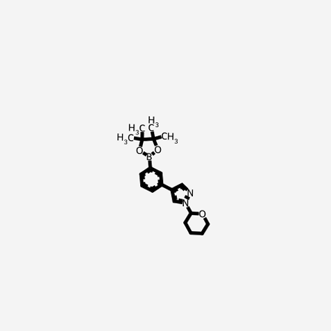 CC1(C)OB(c2cccc(-c3cnn(C4CCCCO4)c3)c2)OC1(C)C